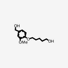 COc1cc(CO)ccc1OCCCCCO